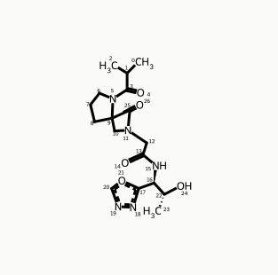 CC(C)C(=O)N1CCCC12CN(CC(=O)N[C@H](c1nnco1)[C@@H](C)O)C2=O